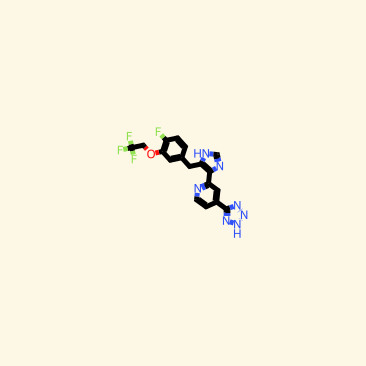 Fc1ccc(Cc2[nH]cnc2-c2cc(-c3nn[nH]n3)ccn2)cc1OCC(F)(F)F